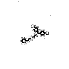 Clc1ccc(C(SCCNCCCc2ccccc2)c2ccc(Cl)cc2)cc1